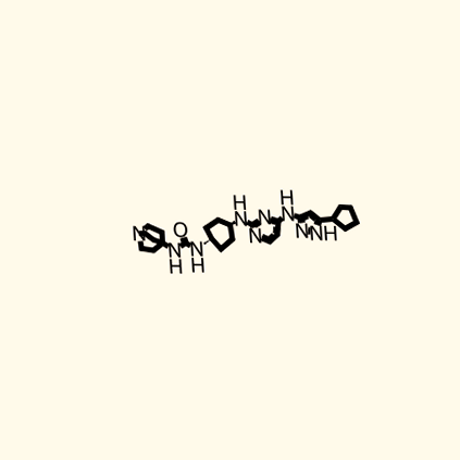 O=C(NC12CCN(CC1)CC2)N[C@H]1CC[C@H](Nc2nccc(Nc3cc(C4CCCC4)[nH]n3)n2)CC1